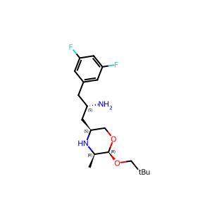 C[C@H]1N[C@@H](C[C@@H](N)Cc2cc(F)cc(F)c2)CO[C@H]1OCC(C)(C)C